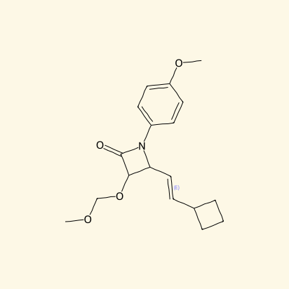 COCOC1C(=O)N(c2ccc(OC)cc2)C1/C=C/C1CCC1